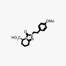 COc1ccc(CCn2nc3n(c2=O)[C@H](C(=O)O)CCC3)cc1